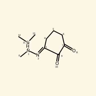 CN(N=C1CCCC(=O)C1=O)[SiH](C)C